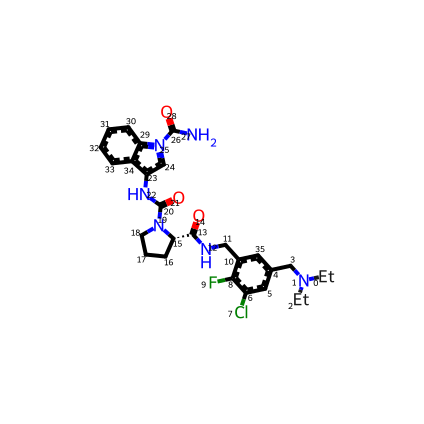 CCN(CC)Cc1cc(Cl)c(F)c(CNC(=O)[C@@H]2CCCN2C(=O)Nc2cn(C(N)=O)c3ccccc23)c1